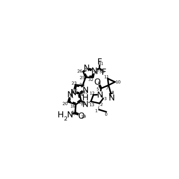 CC[C@H]1CN(C(=O)C2(C#N)CC2)C[C@H]1Nc1c(C(N)=O)cnn2cc(-c3cnn(C(F)F)c3)nc12